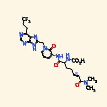 CN(C)C(=O)/C=C/CCC(NC(=O)O)C(=O)Nc1cccn(Cc2nc3c(CCC(F)(F)F)ncnc3[nH]2)c1=O